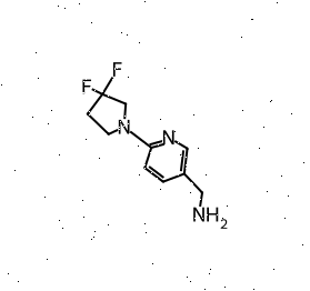 NCc1ccc(N2CCC(F)(F)C2)nc1